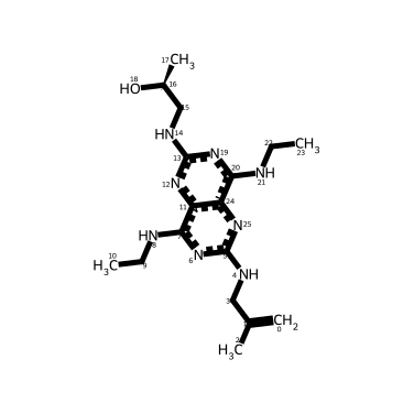 C=C(C)CNc1nc(NCC)c2nc(NC[C@H](C)O)nc(NCC)c2n1